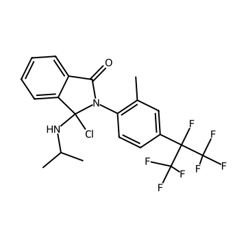 Cc1cc(C(F)(C(F)(F)F)C(F)(F)F)ccc1N1C(=O)c2ccccc2C1(Cl)NC(C)C